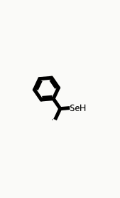 [CH2]C([SeH])c1ccccc1